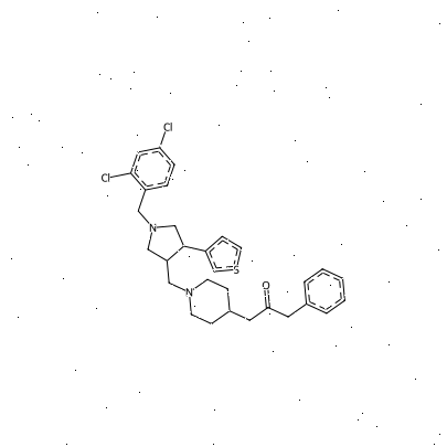 O=C(Cc1ccccc1)CC1CCN(CC2CN(Cc3ccc(Cl)cc3Cl)CC2c2ccsc2)CC1